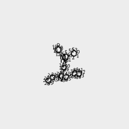 c1ccc(-c2cc(-c3ccccc3)nc(-c3ccc(-c4cc(-c5ccc6ccccc6c5)nc5ccc(-c6ccc7ccccc7c6)cc45)cc3)c2)cc1